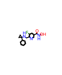 O=C(NO)c1cnc(CNC2(c3ccccc3)CC2)c(F)c1